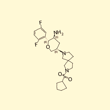 N[C@H]1C[C@@H](N2CCC3(CCN(S(=O)(=O)C4CCCC4)C3)C2)CO[C@@H]1c1cc(F)ccc1F